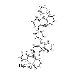 CC1(C)c2ccccc2N(c2ccc3c(c2)c2ccccc2n3-c2ccc(-c3cccc4c3Oc3cccc5c6ccccc6n-4c35)cc2)c2ccccc21